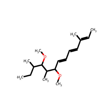 [CH2]CC(C)C(OC)C(C)C(/C=C/C=C/C(C)=C/C)OC